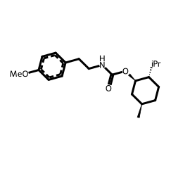 COc1ccc(CCNC(=O)O[C@@H]2C[C@H](C)CC[C@H]2C(C)C)cc1